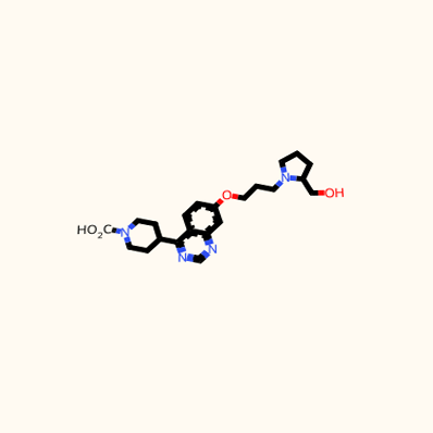 O=C(O)N1CCC(c2ncnc3cc(OCCCN4CCCC4CO)ccc23)CC1